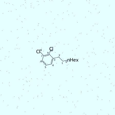 CCCCCCCCc1cccc(Cl)c1Cl